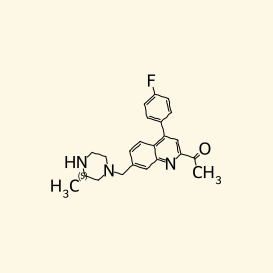 CC(=O)c1cc(-c2ccc(F)cc2)c2ccc(CN3CCN[C@@H](C)C3)cc2n1